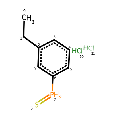 CCc1cccc([PH2]=S)c1.Cl.Cl